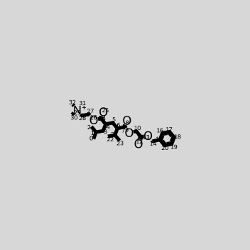 CC(C)CC(CC(C(=O)OCC(=O)OCc1ccccc1)C(C)C)C(=O)OCC[N+](C)(C)C